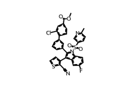 COC(=O)c1ccc(-c2cccc(-c3c(-c4ccsc4C#N)c4cc(F)ccc4n3S(=O)(=O)c3ccc(C)nc3)c2)c(Cl)c1